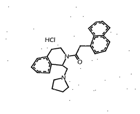 Cl.O=C(Cc1cccc2ccccc12)N1CCc2ccccc2C1CN1CCCC1